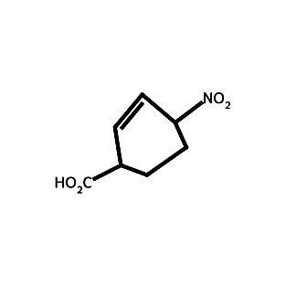 O=C(O)C1C=CC([N+](=O)[O-])CC1